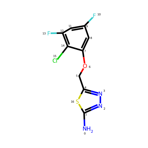 Nc1nnc(COc2cc(F)cc(F)c2Cl)s1